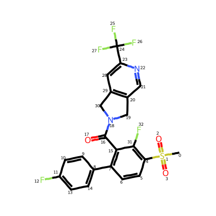 CS(=O)(=O)c1ccc(-c2ccc(F)cc2)c(C(=O)N2Cc3cnc(C(F)(F)F)cc3C2)c1F